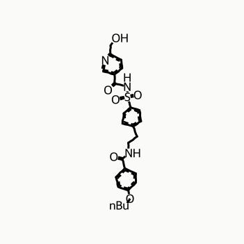 CCCCOc1ccc(C(=O)NCCc2ccc(S(=O)(=O)NC(=O)c3ccc(CO)nc3)cc2)cc1